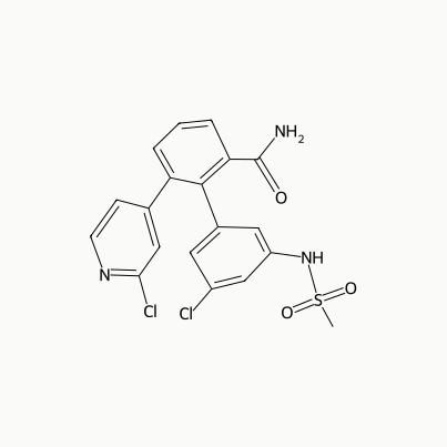 CS(=O)(=O)Nc1cc(Cl)cc(-c2c(C(N)=O)cccc2-c2ccnc(Cl)c2)c1